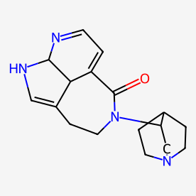 O=C1C2=CC=NC3NC=C(CCN1C1CN4CCC1CC4)C23